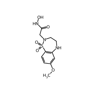 COc1ccc2c(c1)NCCN(CC(=O)NO)S2(=O)=O